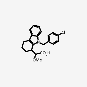 COC(C(=O)O)C1CCCc2c1n(Cc1ccc(Cl)cc1)c1ccccc21